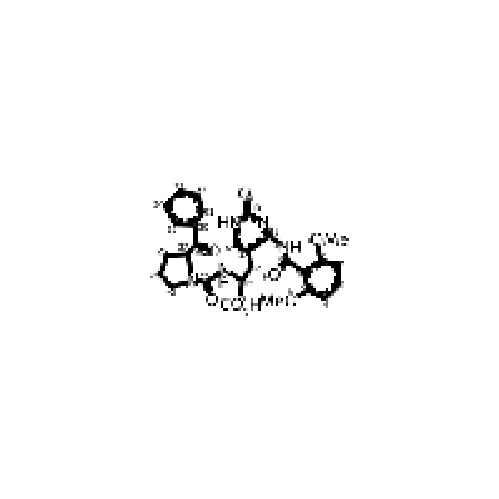 COc1cccc(OC)c1C(=O)Nc1nc(=O)[nH]cc1CC(NC(=O)N1CCCC1C(=O)c1ccccc1)C(=O)O